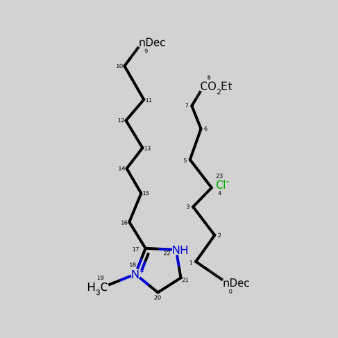 CCCCCCCCCCCCCCCCCC(=O)OCC.CCCCCCCCCCCCCCCCCC1=[N+](C)CCN1.[Cl-]